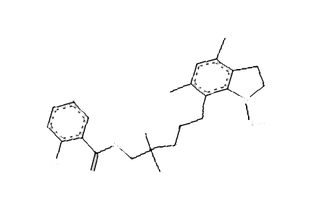 CCCCCCN1CCc2c(C)cc(C)c(CCCC(C)(C)CNC(=O)c3ccccc3O)c21